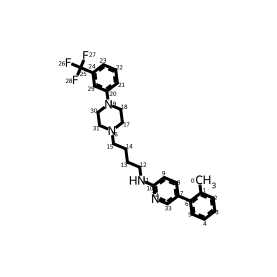 Cc1ccccc1-c1ccc(NCCCCN2CCN(c3cccc(C(F)(F)F)c3)CC2)nc1